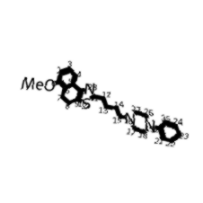 COc1cccc2c1CCc1sc(CCCCN3CCN(c4ccccc4)CC3)nc1-2